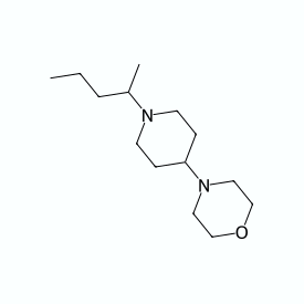 CCCC(C)N1CCC(N2CCOCC2)CC1